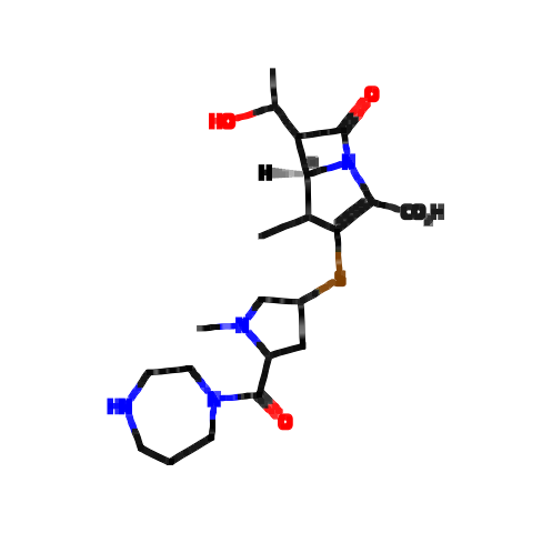 CC(O)C1C(=O)N2C(C(=O)O)=C(SC3CC(C(=O)N4CCCNCC4)N(C)C3)C(C)[C@@H]12